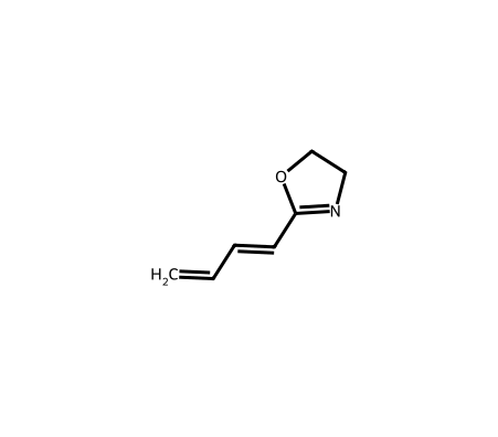 C=CC=CC1=NCCO1